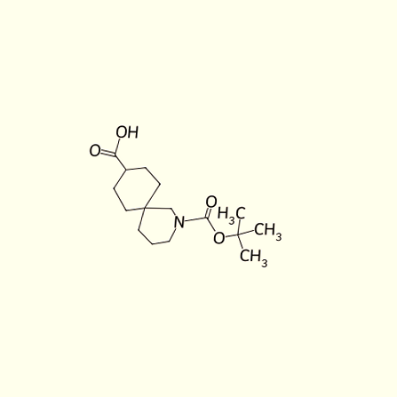 CC(C)(C)OC(=O)N1CCCC2(CCC(C(=O)O)CC2)C1